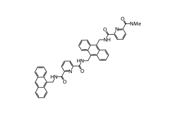 CNC(=O)c1cccc(C(=O)NCc2c3ccccc3c(CNC(=O)c3cccc(C(=O)NCc4c5ccccc5cc5ccccc45)n3)c3ccccc23)n1